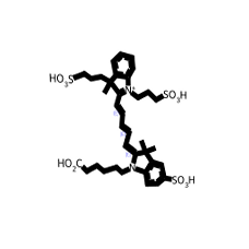 CC1(CCCS(=O)(=O)O)C(/C=C/C=C/C=C2/N(CCCCCC(=O)O)c3ccc(S(=O)(=O)O)cc3C2(C)C)=[N+](CCCS(=O)(=O)O)c2ccccc21